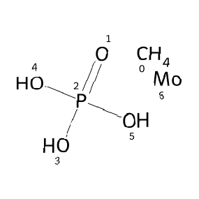 C.O=P(O)(O)O.[Mo]